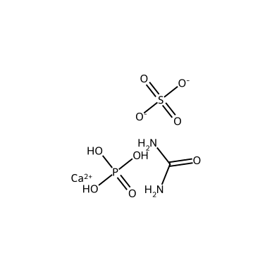 NC(N)=O.O=P(O)(O)O.O=S(=O)([O-])[O-].[Ca+2]